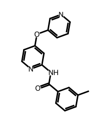 Cc1cccc(C(=O)Nc2cc(Oc3cccnc3)ccn2)c1